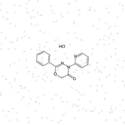 Cl.O=C1COC(c2ccccc2)=NN1c1ccccn1